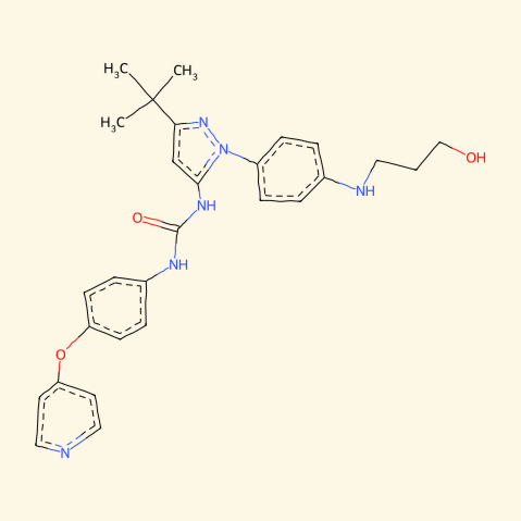 CC(C)(C)c1cc(NC(=O)Nc2ccc(Oc3ccncc3)cc2)n(-c2ccc(NCCCO)cc2)n1